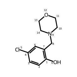 Oc1ccc(Cl)cc1CN1CCOCC1